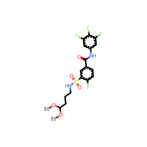 CCOC(CCCNS(=O)(=O)c1cc(C(=O)Nc2cc(F)c(F)c(F)c2)ccc1F)OCC